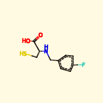 O=C(O)C(CS)NCc1ccc(F)cc1